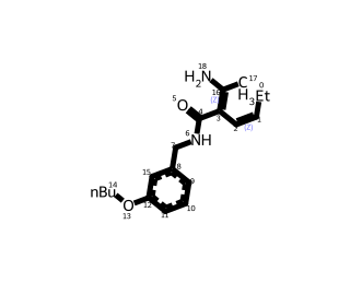 CC/C=C\C(C(=O)NCc1cccc(OCCCC)c1)=C(/C)N